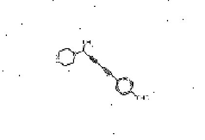 CC(C#CC#Cc1ccc(C=O)cc1)N1CCOCC1